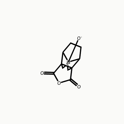 O=C1OC(=O)C23C[S+]([O-])CC12C1CCC3O1